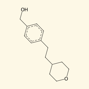 OCc1ccc(CCC2CCOCC2)cc1